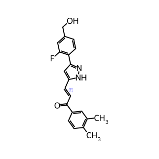 Cc1ccc(C(=O)/C=C/c2cc(-c3ccc(CO)cc3F)n[nH]2)cc1C